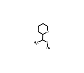 CC(SC#N)C1CCCCO1